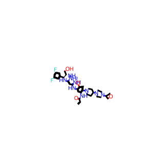 C=CC(=O)Nc1cc(NC(=N)/C=C(\NN)N[C@H](CCO)c2cc(F)cc(F)c2)c(OC)cc1N1CCC(N2CCN(C3COC3)CC2)CC1